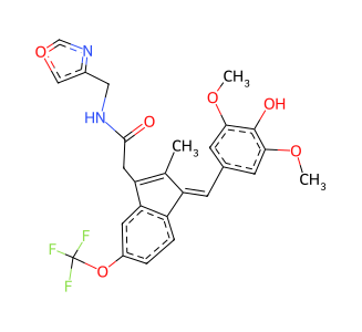 COc1cc(C=C2C(C)=C(CC(=O)NCc3cocn3)c3cc(OC(F)(F)F)ccc32)cc(OC)c1O